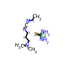 CCN=C=NCCCN(C)C.Cl.NC(N)=S